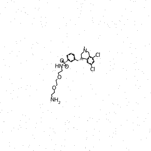 CN1Cc2c(Cl)cc(Cl)cc2[C@H](Cc2cccc(S(=O)(=O)NCCOCCOCCN)c2)C1